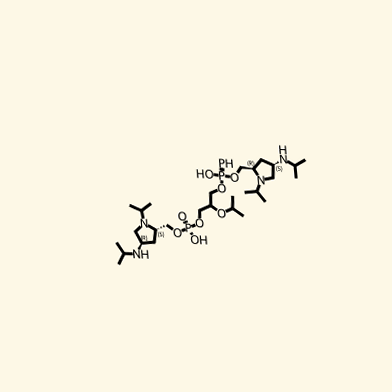 CC(C)N[C@@H]1C[C@@H](COP(=O)(O)OCC(COP(O)(=P)OC[C@H]2C[C@H](NC(C)C)CN2C(C)C)OC(C)C)N(C(C)C)C1